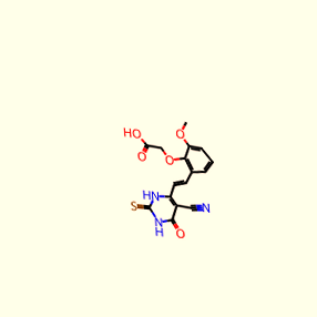 COc1cccc(/C=C/c2[nH]c(=S)[nH]c(=O)c2C#N)c1OCC(=O)O